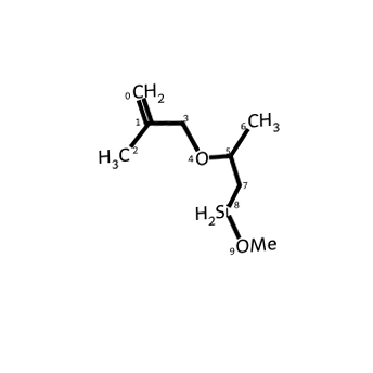 C=C(C)COC(C)C[SiH2]OC